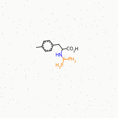 Cc1ccc(CC(NP(P)P)C(=O)O)cc1